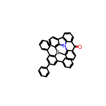 O=c1c2cccc3c2n2c4c(cccc4c4cccc1c42)B3c1c(-c2ccccc2)cc(-c2ccccc2)cc1-c1ccccc1